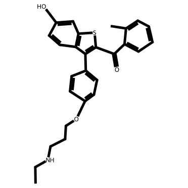 CCNCCCOc1ccc(-c2c(C(=O)c3ccccc3C)sc3cc(O)ccc23)cc1